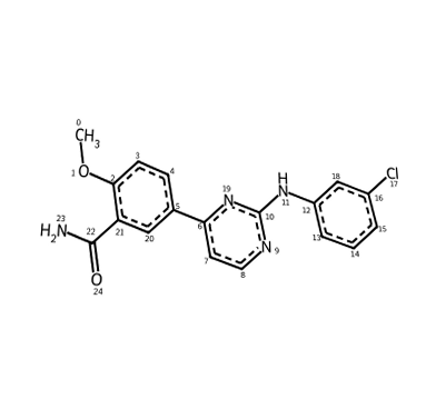 COc1ccc(-c2ccnc(Nc3cccc(Cl)c3)n2)cc1C(N)=O